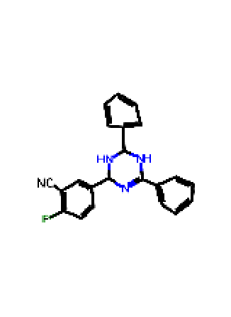 N#Cc1cc(C2N=C(c3ccccc3)NC(c3ccccc3)N2)ccc1F